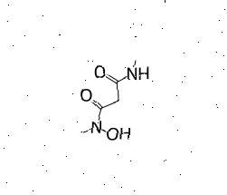 CNC(=O)CC(=O)N(C)O